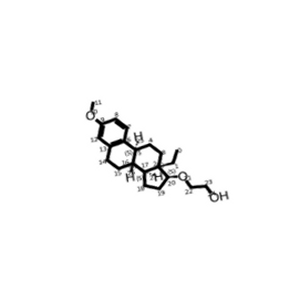 CC[C@]12CC[C@@H]3c4ccc(OC)cc4CC[C@H]3[C@@H]1CC[C@@H]2OCCO